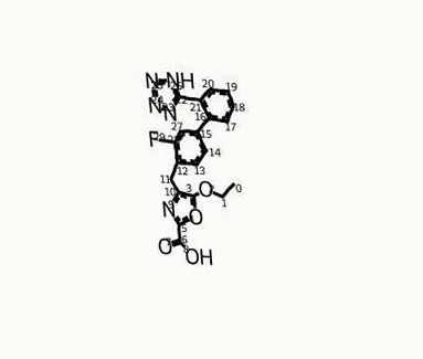 CCOc1oc(C(=O)O)nc1Cc1ccc(-c2ccccc2-c2nnn[nH]2)cc1F